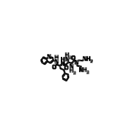 NCCN(CCN)C(=O)[C@H](N)[C@H](N)C(=O)N[C@@H](CCc1ccccc1)C(=O)Nc1cnc2ccccc2c1